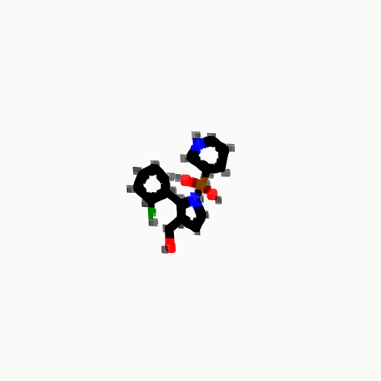 O=Cc1ccn(S(=O)(=O)c2cccnc2)c1-c1ccccc1F